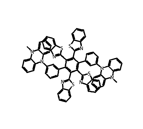 CN1c2ccccc2N(c2cccc(-c3c(-c4nc5ccccc5s4)c(-c4nc5ccccc5s4)c(-c4cccc(N5c6ccccc6N(C)c6ccccc65)c4)c(-c4nc5ccccc5s4)c3-c3nc4ccccc4s3)c2)c2ccccc21